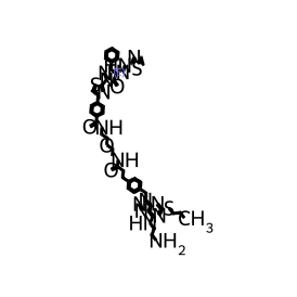 CCCSc1nc(NCCN)c2nnn(Cc3ccc(CCC(=O)NCCOCCNC(=O)c4ccc(-c5csc(N6N=C(c7ccccc7)/C(=N\Nc7nccs7)C6=O)n5)cc4)cc3)c2n1